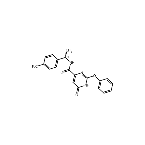 C[C@@H](NC(=O)c1cc(=O)[nH]c(Oc2ccccc2)n1)c1ccc(C(F)(F)F)cc1